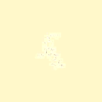 NC1=NC2(CCC(NC(=O)O)CC2)NC(Nc2cccc(Br)c2)=N1